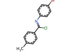 Cc1ccc(/C(Cl)=N/c2ccc(Br)cc2)cc1